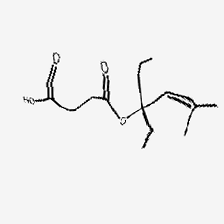 CCC(C=C(C)C)(CC)OC(=O)CC(=O)O